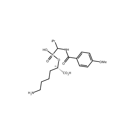 COc1ccc(C(=O)NC(C(C)C)P(=O)(O)O[C@@H](CCCCN)C(=O)O)cc1